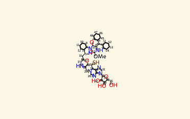 COC(=O)N[C@H](C(=O)Nc1ccccc1CC[C@@H]1CN[C@H](C)[C@@H](C(S)c2ncnc3c2ncn3[C@@H]2O[C@H](CO)[C@@H](O)[C@H]2O)O1)C(c1ccccc1)c1ccccc1